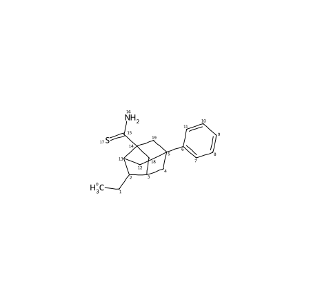 CCC1C2CC3(c4ccccc4)CC1C(C(N)=S)(C2)C3